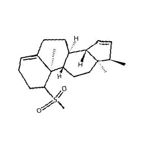 C[C@@H]1C=C[C@H]2[C@@H]3CCC4=CCCC(S(C)(=O)=O)[C@]4(C)[C@H]3CC[C@]12C